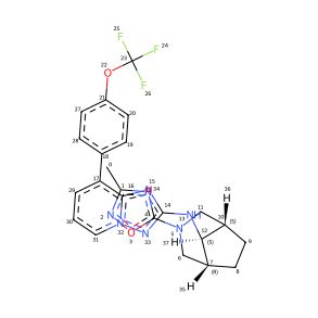 Cc1noc(N2C[C@H]3CC[C@@H](C2)[C@@H]3Nc2nc3c(-c4ccc(OC(F)(F)F)cc4)cccn3n2)n1